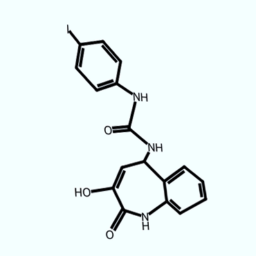 O=C(Nc1ccc(I)cc1)NC1C=C(O)C(=O)Nc2ccccc21